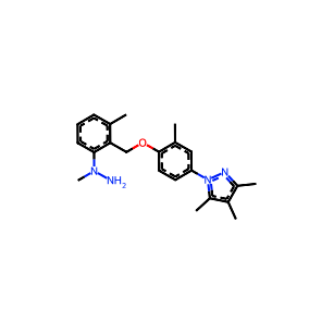 Cc1cc(-n2nc(C)c(C)c2C)ccc1OCc1c(C)cccc1N(C)N